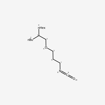 CCCCCCC(CCCC)COCCCN=C=O